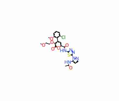 COCCOc1c(-c2c(Cl)cccc2OC)cc(C(=O)Nc2nnc(-n3nccc3NC(C)=O)s2)oc1=O